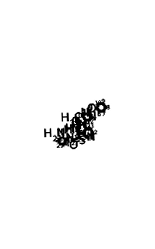 Cc1nc(Oc2ccccc2)ncc1N1C(=O)Nc2c(C(=O)N[C@@H]3CCCC3N)sc3nccc1c23